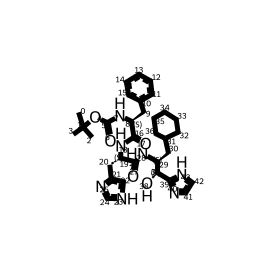 CC(C)(C)OC(=O)N[C@@H](Cc1ccccc1)C(=O)N[C@@H](Cc1c[nH]cn1)C(=O)N[C@@H](CC1CCCCC1)[C@@H](O)c1ncc[nH]1